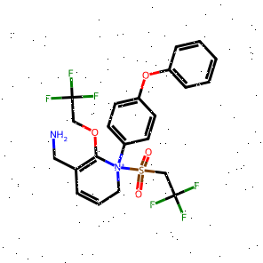 NCC1=C(OCC(F)(F)F)[N+](c2ccc(Oc3ccccc3)cc2)(S(=O)(=O)CC(F)(F)F)CC=C1